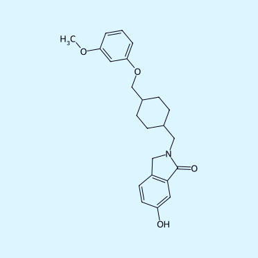 COc1cccc(OCC2CCC(CN3Cc4ccc(O)cc4C3=O)CC2)c1